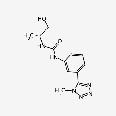 C[C@H](CO)NC(=O)Nc1cccc(-c2nnnn2C)c1